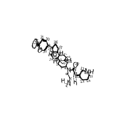 C[C@]12CC[C@H](N(CCN)C(=O)NC3CCCNC3)C[C@H]1CC[C@@H]1[C@@H]2CC[C@]2(C)[C@@H](c3ccc(=O)oc3)CC[C@]12O